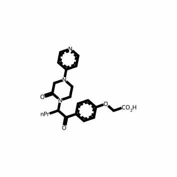 CCCC(C(=O)c1ccc(OCC(=O)O)cc1)N1CCN(c2ccncc2)CC1=O